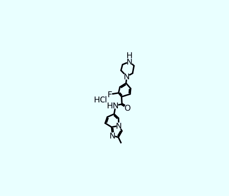 Cc1cn2cc(NC(=O)c3ccc(N4CCNCC4)cc3F)ccc2n1.Cl